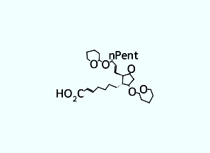 CCCCC[C@@H](C=C[C@H]1C(=O)C[C@H](OC2CCCCO2)[C@@H]1CCCCC=CC(=O)O)OC1CCCCO1